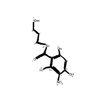 CCCCCCCCCCCCCNC(=O)c1c(O)cc(O)c([N+](=O)[O-])c1O